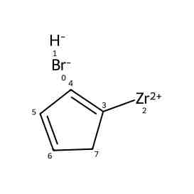 [Br-].[H-].[Zr+2][C]1=CC=CC1